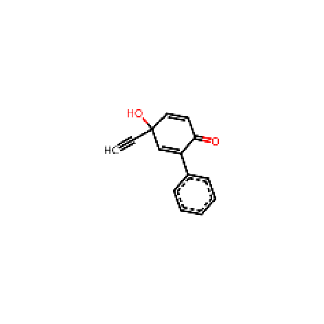 C#CC1(O)C=CC(=O)C(c2ccccc2)=C1